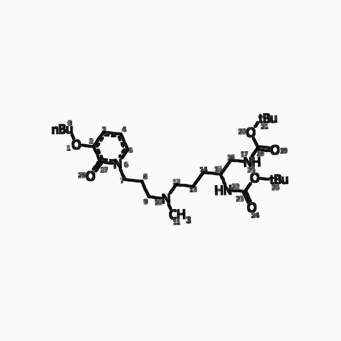 CCCCOc1cccn(CCCN(C)CCCC(CNC(=O)OC(C)(C)C)NC(=O)OC(C)(C)C)c1=O